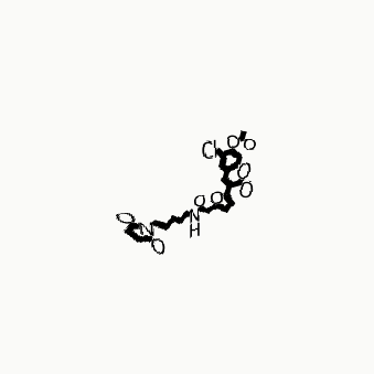 CC(=O)Oc1cc2oc(=O)c(-c3ccc(CC(=O)NCCCCCN4C(=O)C=CC4=O)o3)cc2cc1Cl